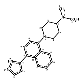 CN(C(=O)O)C1CCN(c2nnc(-c3ccn[nH]3)c3ccccc23)CC1